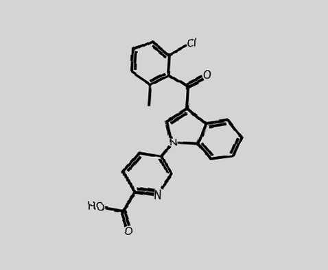 Cc1cccc(Cl)c1C(=O)c1cn(-c2ccc(C(=O)O)nc2)c2ccccc12